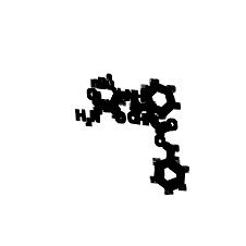 CCCC[C@H](NC(=O)C1(NC(=O)OCc2ccccc2)CCCCC1)C(=O)C(N)=O